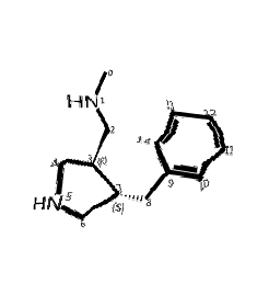 CNC[C@@H]1CNC[C@H]1Cc1ccccc1